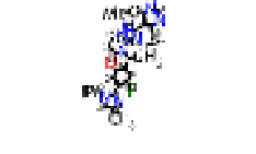 COc1ncnc(C2CC2)c1-c1nc2n(n1)CCC(=O)N2[C@@H](C)c1ccc(-c2nc(C(F)(F)F)cn2C(C)C)c(F)c1